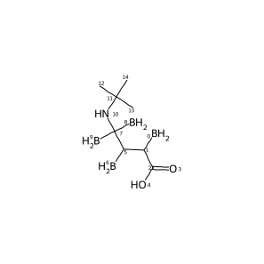 BC(C(=O)O)C(B)C(B)(B)NC(C)(C)C